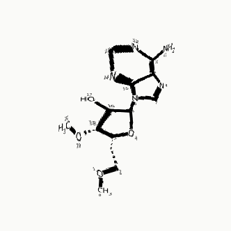 COC[C@H]1OC(n2cnc3c(N)ncnc32)C(O)[C@H]1OC